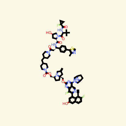 C#Cc1c(F)ccc2cc(O)cc(-c3ncc4c(N5CC6CCC(C5)N6)nc(OC[C@@]56CC[C@@H](COC(=O)N7CCC(CC8CCN(C(=O)C[C@H](NC(=O)[C@@H]9C[C@@H](O)CN9C(=O)[C@@H](NC(=O)C9(F)CC9)C(C)(C)C)c9ccc(-c%10scnc%10C)cc9)CC8)CC7)N5CC(=C)C6)nc4c3F)c12